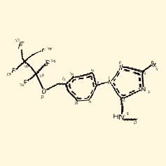 CNc1nc(Br)nn1-c1ccc(OC(F)(F)C(F)(F)F)cc1